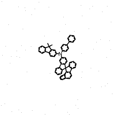 CC1(C)c2ccccc2-c2ccc(N(c3ccc(-c4ccccc4)cc3)c3ccc4c(c3)-c3ccccc3C43c4ccccc4-c4ccc5ccccc5c43)cc21